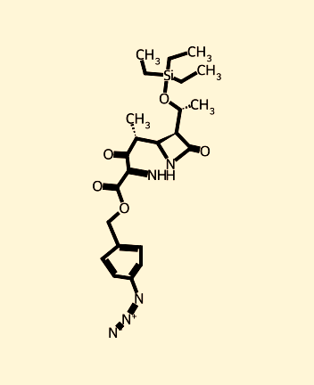 CC[Si](CC)(CC)O[C@H](C)[C@H]1C(=O)NC1[C@@H](C)C(=O)C(=N)C(=O)OCc1ccc(N=[N+]=[N-])cc1